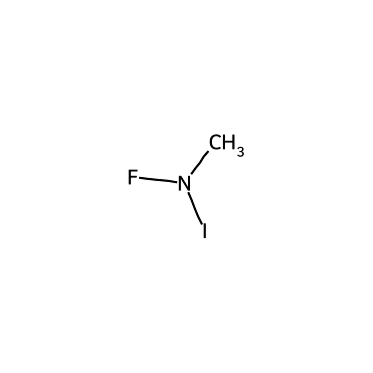 CN(F)I